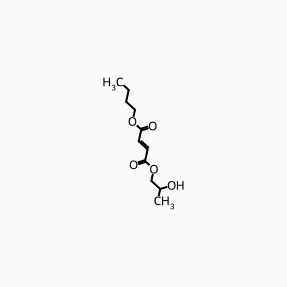 CCCCOC(=O)C=CC(=O)OCC(C)O